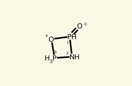 O=[PH]1N[PH3]O1